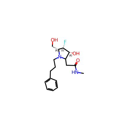 CNC(=O)CC1[C@@H](O)[C@@H](F)[C@@H](CO)N1CCCc1ccccc1